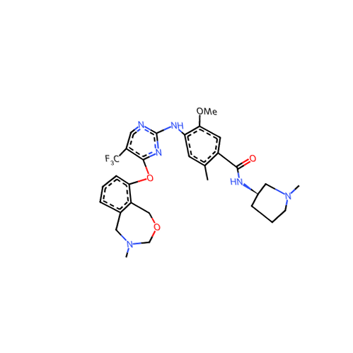 COc1cc(C(=O)N[C@@H]2CCCN(C)C2)c(C)cc1Nc1ncc(C(F)(F)F)c(Oc2cccc3c2COCN(C)C3)n1